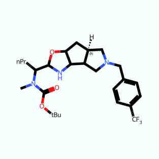 CCCC(C1NC2C(C[C@H]3CN(Cc4ccc(C(F)(F)F)cc4)CC23)O1)N(C)C(=O)OC(C)(C)C